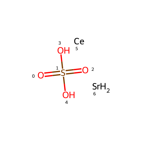 O=S(=O)(O)O.[Ce].[SrH2]